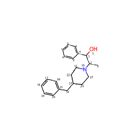 CC(C(O)c1ccccc1)N1CCC(Cc2ccccc2)CC1